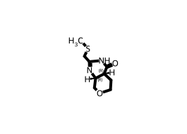 CSCC1=N[C@H]2COCC[C@H]2C(=O)N1